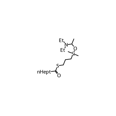 CCCCCCCC(=O)SCCC[Si](C)(C)OC(C)N(CC)CC